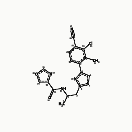 Cc1c(-c2ccn(CC(C)NC(=O)c3cocn3)n2)ccc(C#N)c1Cl